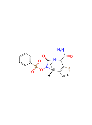 NC(=O)C1c2sccc2[C@H]2CN1C(=O)N2OS(=O)(=O)c1ccccc1